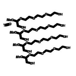 COC(CO)OCCOCCOCCO.COC(CO)OCCOCCOCCO.COC(CO)OCCOCCOCCO.COC(CO)OCCOCCOCCO.[O]=[Ti]